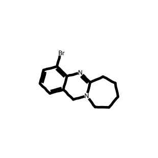 Brc1cccc2c1N=C1CCCCCN1C2